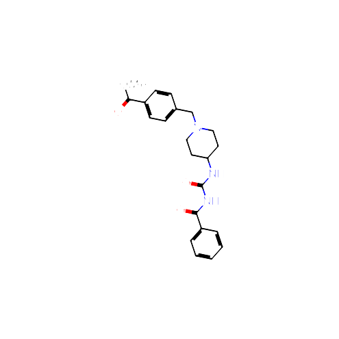 COC(=O)c1ccc(CN2CCC(NC(=O)NC(=O)c3ccccc3)CC2)cc1